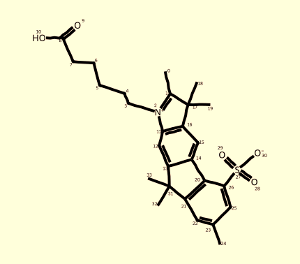 CC1=[N+](CCCCCC(=O)O)c2cc3c(cc2C1(C)C)-c1c(cc(C)cc1S(=O)(=O)[O-])C3(C)C